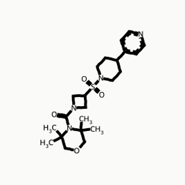 CC1(C)COCC(C)(C)N1C(=O)N1CC(S(=O)(=O)N2CCC(c3ccncc3)CC2)C1